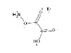 NOC(=O)C(=O)O.[K]